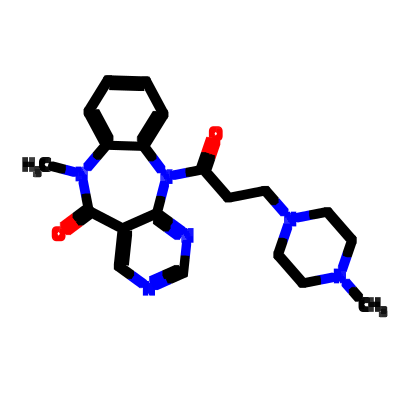 CN1CCN(CCC(=O)N2c3ccccc3N(C)C(=O)c3cncnc32)CC1